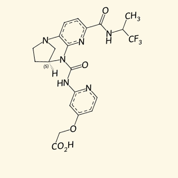 CC(NC(=O)c1ccc2c(n1)N(C(=O)Nc1cc(OCC(=O)O)ccn1)[C@H]1CCN2C1)C(F)(F)F